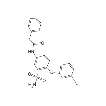 NS(=O)(=O)c1cc(NC(=O)Cc2ccccc2)ccc1Oc1cccc(F)c1